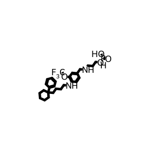 O=[PH](O)OCCCNCc1ccc(NCCCCC2(c3ccccc3)CCCCC2)c(OC(F)(F)F)c1